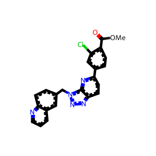 COC(=O)c1ccc(-c2ccc3nnn(Cc4ccc5ncccc5c4)c3n2)cc1Cl